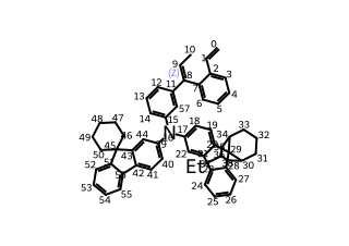 C=Cc1ccccc1/C(=C\C)c1cccc(N(c2ccc3c(c2)-c2ccccc2C32C3CCCC2CC(CC)C3)c2ccc3c(c2)C2(CCCCC2)c2ccccc2-3)c1